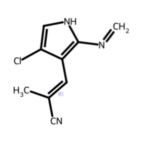 C=Nc1[nH]cc(Cl)c1/C=C(\C)C#N